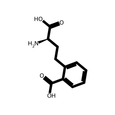 N[C@H](CCc1ccccc1C(=O)O)C(=O)O